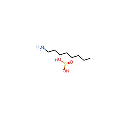 CCCCCCCCN.O=S(O)O